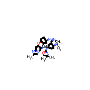 C=Nc1ccc(NC2=NC(C)(C)CO2)cc1/C(=N\C)Nc1ccc(Oc2ccn3cc(C)nc3c2)c(C)c1